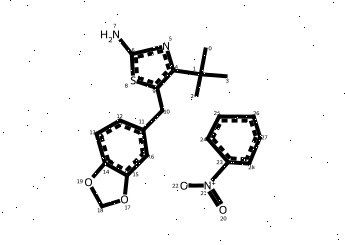 CC(C)(C)c1nc(N)sc1Cc1ccc2c(c1)OCO2.O=[N+]([O-])c1ccccc1